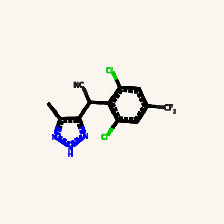 Cc1n[nH]nc1C(C#N)c1c(Cl)cc(C(F)(F)F)cc1Cl